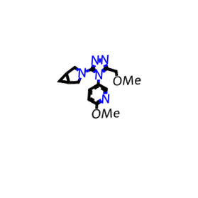 COCc1nnc(N2CC3CC3C2)n1-c1ccc(OC)nc1